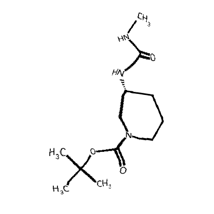 CNC(=O)N[C@@H]1CCCN(C(=O)OC(C)(C)C)C1